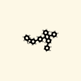 c1ccc(-c2ccc3c(-c4ccccc4)c4ccccc4c(-c4ccc(-c5ccc6oc7ccccc7c6c5)cc4)c3c2)cc1